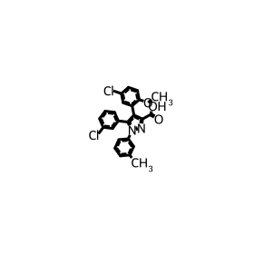 COc1ccc(Cl)cc1-c1c(C(=O)O)nn(-c2cccc(C)c2)c1-c1cccc(Cl)c1